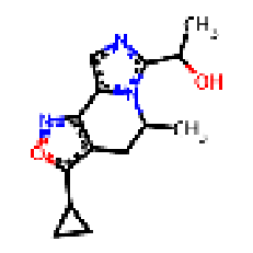 CC(O)c1ncc2n1C(C)Cc1c-2noc1C1CC1